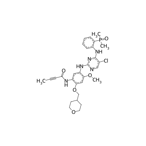 CC#CC(=O)Nc1cc(Nc2ncc(Cl)c(Nc3ccccc3P(C)(C)=O)n2)c(OC)cc1OCC1CCOCC1